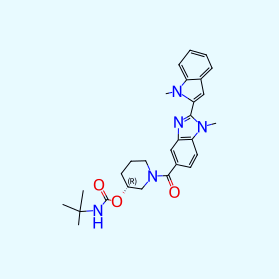 Cn1c(-c2nc3cc(C(=O)N4CCC[C@@H](OC(=O)NC(C)(C)C)C4)ccc3n2C)cc2ccccc21